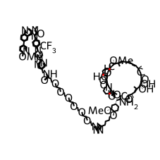 COc1ccc(-c2ccc3ncc4c(c3c2)n(-c2ccc(N3CCN(c5ncc(CNC(=O)CCOCCOCCOCCOCCOCCOCCn6cc(CCCCO[C@@H]7CC[C@@H](C[C@@H](N)[C@@H]8CC(=O)[C@H](C)/C=C(\C)[C@@H](O)[C@@H](O)C(=O)[C@H](C)C[C@H](C)/C=C/C=C/C=C(\C)[C@@H](OC)C[C@@H]9CC[C@@H](C)[C@@](O)(O9)C(=O)C(=O)N9CCCC[C@H]9C(=O)O8)C[C@H]7OC)nn6)cn5)CC3)c(C(F)(F)F)c2)c(=O)n4C)cn1